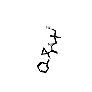 CC(C)(CO)CNC(=O)C1(Sc2ccccc2)CC1